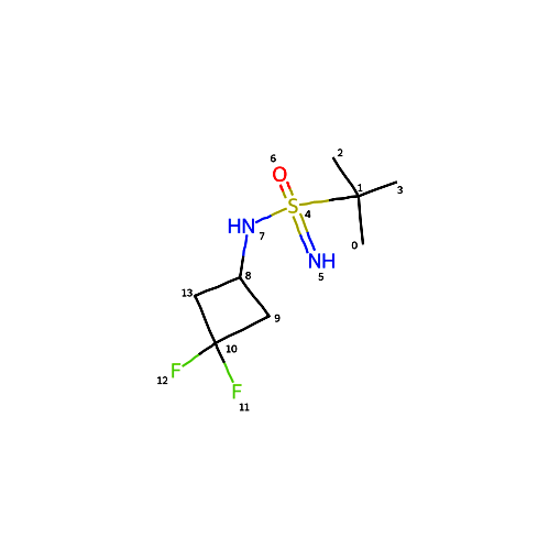 CC(C)(C)S(=N)(=O)NC1CC(F)(F)C1